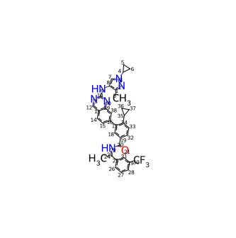 Cc1nn(C2CC2)cc1Nc1ncc2ccc(-c3cc(C(=O)N[C@@H](C)c4cccc(C(F)(F)F)c4)ccc3C3CC3)cc2n1